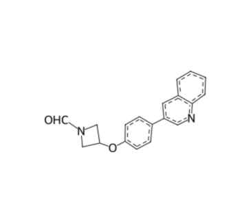 O=CN1CC(Oc2ccc(-c3cnc4ccccc4c3)cc2)C1